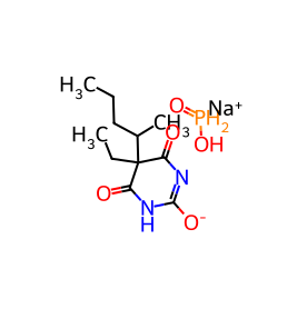 CCCC(C)C1(CC)C(=O)N=C([O-])NC1=O.O=[PH2]O.[Na+]